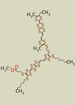 CCCCCCSC1=C(SCSC2=C(C)SC(=CC=C3SC4=C(S3)SC(=C3SC(C)=C(CC)S3)S4)S2)SC(=CC=C2SC3=C(S2)SC(=C2SC(SCCCCCC)=C(SCCC(=O)OCC)S2)S3)S1